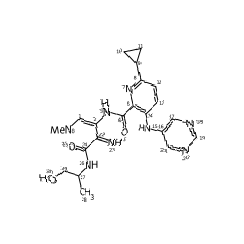 CN/C=C(/NC(=O)c1nc(C2CC2)ccc1Nc1cncnc1)C(=N)C(=O)NC(C)CO